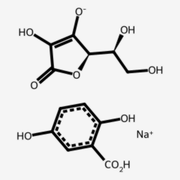 O=C(O)c1cc(O)ccc1O.O=C1O[C@H]([C@@H](O)CO)C([O-])=C1O.[Na+]